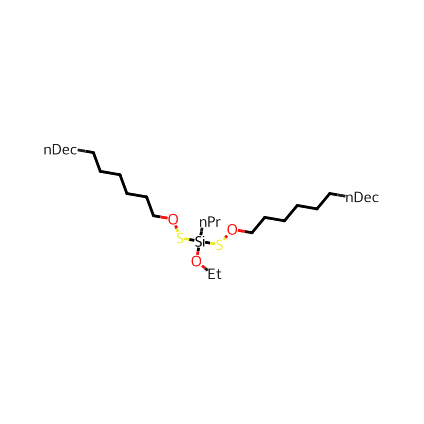 CCCCCCCCCCCCCCCCOS[Si](CCC)(OCC)SOCCCCCCCCCCCCCCCC